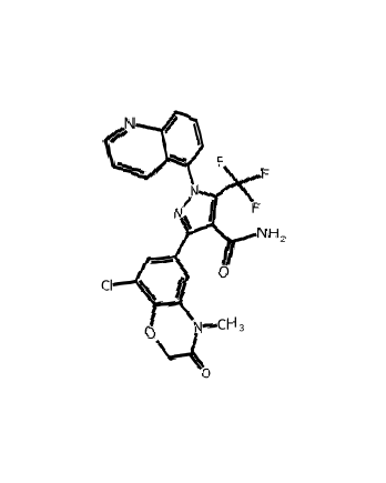 CN1C(=O)COc2c(Cl)cc(-c3nn(-c4cccc5ncccc45)c(C(F)(F)F)c3C(N)=O)cc21